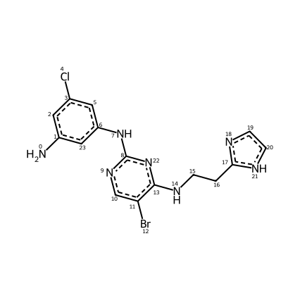 Nc1cc(Cl)cc(Nc2ncc(Br)c(NCCc3ncc[nH]3)n2)c1